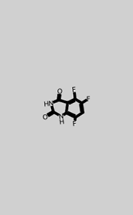 O=c1[nH]c(=O)c2c(F)c(F)cc(F)c2[nH]1